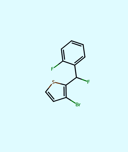 Fc1ccccc1C(F)c1sccc1Br